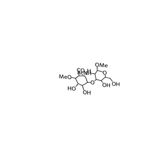 COC1OC(CO)C(O)C(OC2CC(C(=O)O)C(OC)C(O)C2O)C1NC(C)=O